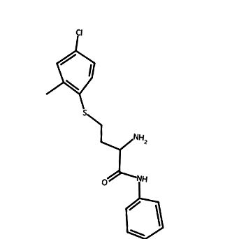 Cc1cc(Cl)ccc1SCCC(N)C(=O)Nc1ccccc1